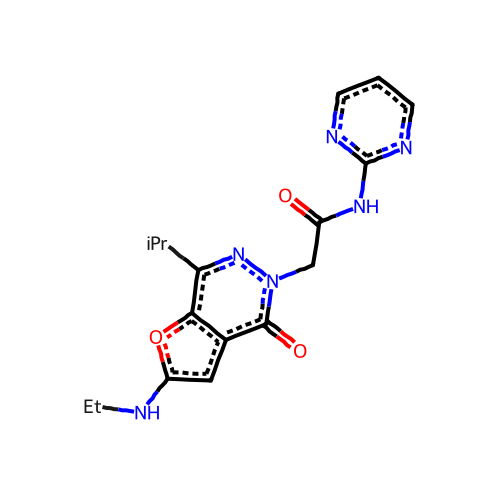 CCNc1cc2c(=O)n(CC(=O)Nc3ncccn3)nc(C(C)C)c2o1